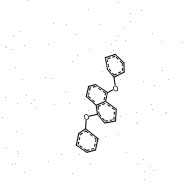 c1ccc(Oc2cccc3c(Oc4ccccc4)cccc23)cc1